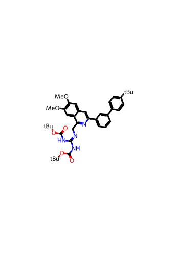 COc1cc2cc(-c3cccc(-c4ccc(C(C)(C)C)cc4)c3)nc(CN=C(NC(=O)OC(C)(C)C)NC(=O)OC(C)(C)C)c2cc1OC